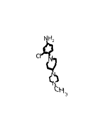 CN1CCN(C2CCN(c3ccc(N)cc3Cl)CC2)CC1